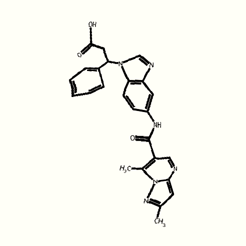 Cc1cc2ncc(C(=O)Nc3ccc4c(c3)ncn4C(CC(=O)O)c3ccccc3)c(C)n2n1